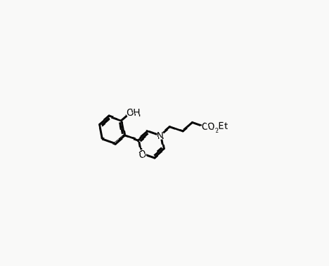 CCOC(=O)CCCN1C=COC(C2=C(O)C=CCC2)=C1